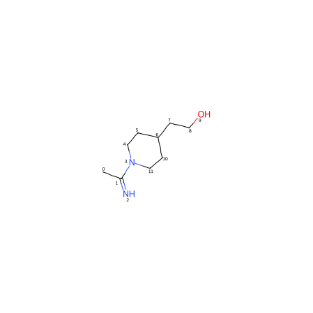 CC(=N)N1CCC(CCO)CC1